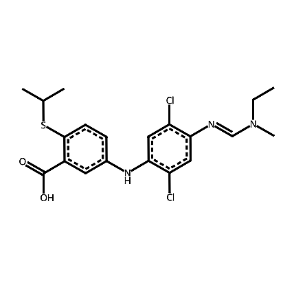 CCN(C)C=Nc1cc(Cl)c(Nc2ccc(SC(C)C)c(C(=O)O)c2)cc1Cl